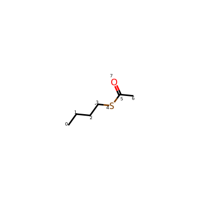 CCC[CH]SC(C)=O